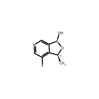 C[C@@H]1OB(O)c2cncc(F)c21